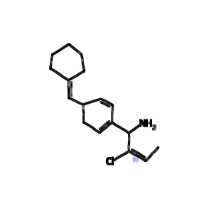 C/C=C(/Cl)C(N)C1=CCC(C=C2CCCCC2)C=C1